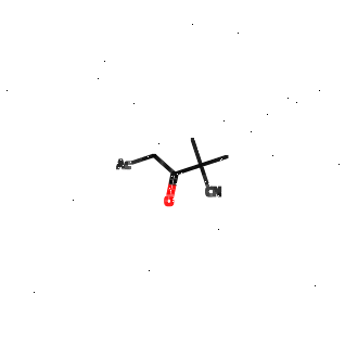 CC(=O)CC(=O)C(C)(C)C#N